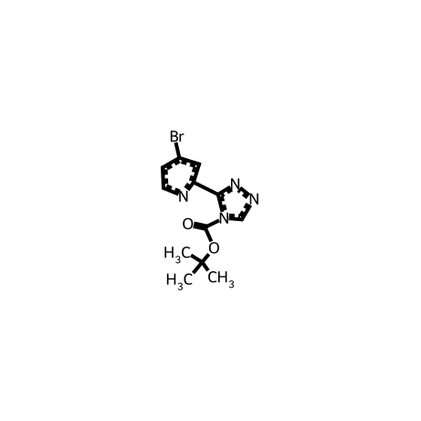 CC(C)(C)OC(=O)n1cnnc1-c1cc(Br)ccn1